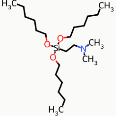 CCCCCCO[Si](CCN(C)C)(OCCCCCC)OCCCCCC